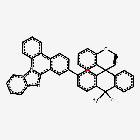 CC1(C)c2ccccc2C2(c3ccccc3Oc3ccccc32)c2cc(-c3ccc4c5ccccc5n5c6ccccc6nc5c4c3)ccc21